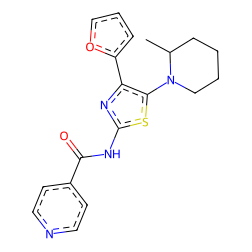 CC1CCCCN1c1sc(NC(=O)c2ccncc2)nc1-c1ccco1